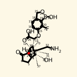 C[C@@H]1CC[C@@]23CCC(=O)[C@H]2[C@@]1(C)[C@H](C(Oc1ccc2c(c1F)B(O)OC2)C(=O)O)C[C@@](C)(CN)[C@@H](O)[C@@H]3C